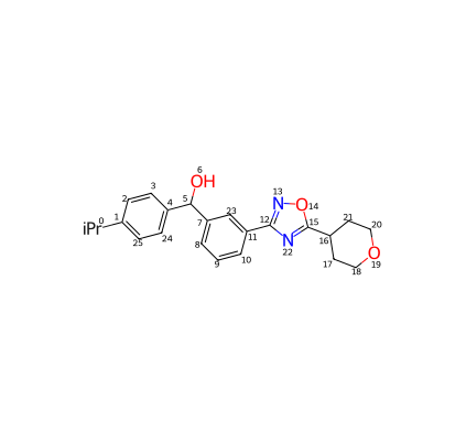 CC(C)c1ccc(C(O)c2cccc(-c3noc(C4CCOCC4)n3)c2)cc1